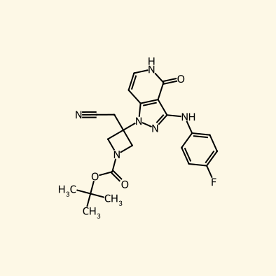 CC(C)(C)OC(=O)N1CC(CC#N)(n2nc(Nc3ccc(F)cc3)c3c(=O)[nH]ccc32)C1